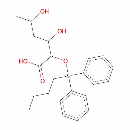 CCCC[Si](OC(C(=O)O)C(O)CC(C)O)(c1ccccc1)c1ccccc1